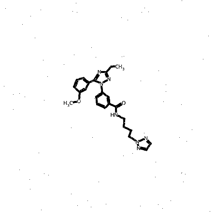 CCc1nc(-c2cccc(OC)c2)n(-c2cccc(C(=O)NCCCCn3nccn3)c2)n1